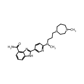 CN1CCCN(CCCN(C)c2ccc(-c3nc4c(C(N)=O)cccc4[nH]3)cn2)CC1